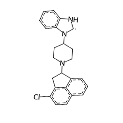 Clc1ccc2cccc3c2c1CC3N1CCC(N2[CH]Nc3ccccc32)CC1